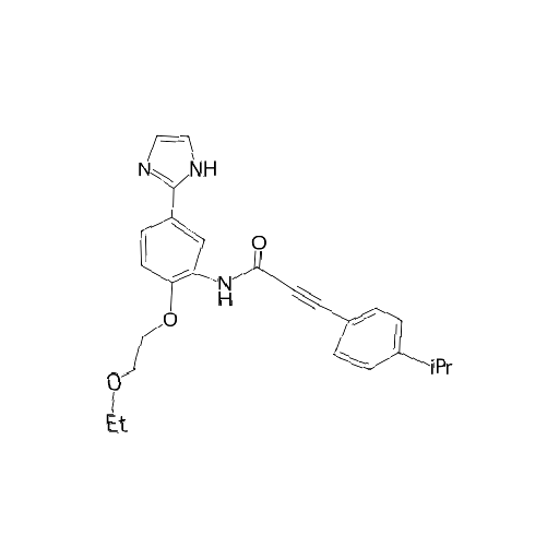 CCOCCOc1ccc(-c2ncc[nH]2)cc1NC(=O)C#Cc1ccc(C(C)C)cc1